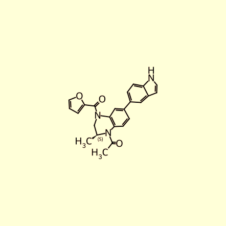 CC(=O)N1c2ccc(-c3ccc4[nH]ccc4c3)cc2N(C(=O)c2ccco2)C[C@@H]1C